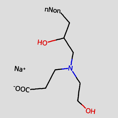 CCCCCCCCCCC(O)CN(CCO)CCC(=O)[O-].[Na+]